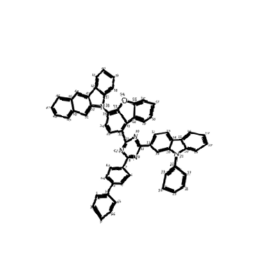 c1ccc(-c2ccc(-c3nc(-c4ccc5c6ccccc6n(-c6ccccc6)c5c4)nc(-c4ccc(-n5c6ccccc6c6cc7ccccc7cc65)c5oc6ccccc6c45)n3)cc2)cc1